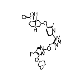 Cc1nc(-c2nnn(C)c2COc2ncc(F)c(O[C@H]3CCOC3)n2)ccc1O[C@H]1C[C@@H]2CC[C@H](C(=O)O)[C@@H]2C1